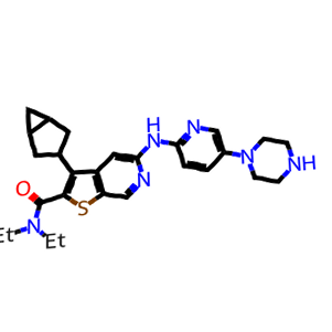 CCN(CC)C(=O)c1sc2cnc(Nc3ccc(N4CCNCC4)cn3)cc2c1C1CC2CC2C1